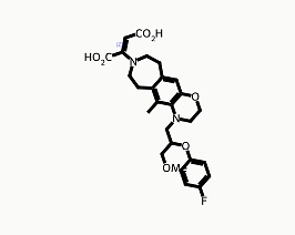 COCC(CN1CCOc2cc3c(c(C)c21)CCN(/C(=C\C(=O)O)C(=O)O)CC3)Oc1ccc(F)cc1